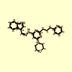 C(=N/Nc1cc(N2CCOCC2)nc(CCCc2ccccn2)n1)/c1c[nH]c2ccccc12